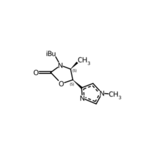 CCC(C)N1C(=O)O[C@H](c2cn(C)cn2)[C@@H]1C